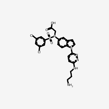 NCCCNc1ccc(-n2ccc3cc(N(CC(=O)O)S(=O)(=O)c4cc(Cl)cc(Cl)c4)ccc32)nn1